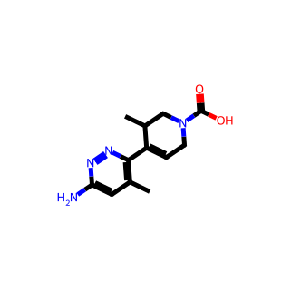 Cc1cc(N)nnc1C1=CCN(C(=O)O)CC1C